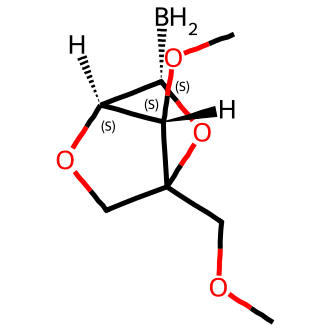 B[C@@H]1OC2(COC)CO[C@@H]1[C@@H]2OC